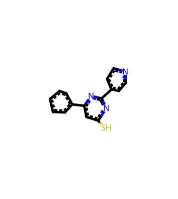 Sc1cc(-c2ccccc2)nc(-c2ccncc2)n1